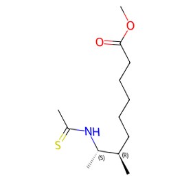 COC(=O)CCCCC[C@@H](C)[C@H](C)NC(C)=S